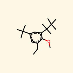 CCc1cc(C(C)(C)C)cc(C(C)(C)C(C)(C)C)c1OC